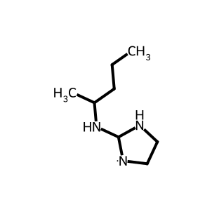 CCCC(C)NC1[N]CCN1